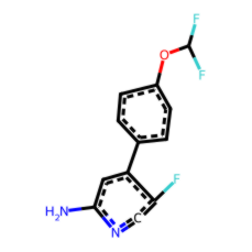 Nc1cc(-c2ccc(OC(F)F)cc2)c(F)cn1